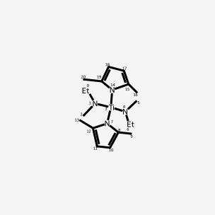 CC[N](C)[Ti]([N](C)CC)([n]1c(C)ccc1C)[n]1c(C)ccc1C